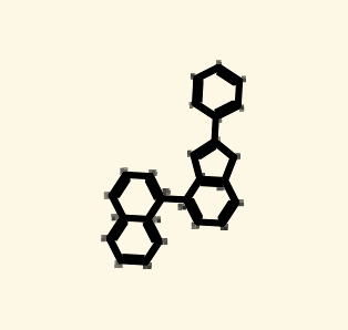 [CH]1C(c2ccccc2)=Cc2c1cccc2-c1cccc2ccccc12